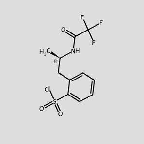 C[C@H](Cc1ccccc1S(=O)(=O)Cl)NC(=O)C(F)(F)F